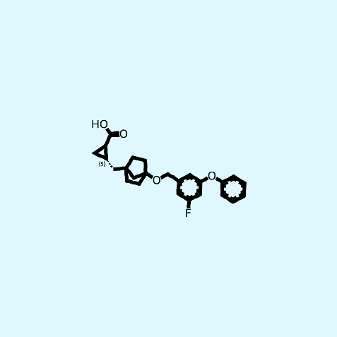 O=C(O)C1C[C@H]1CC12CCC(OCc3cc(F)cc(Oc4ccccc4)c3)(CC1)C2